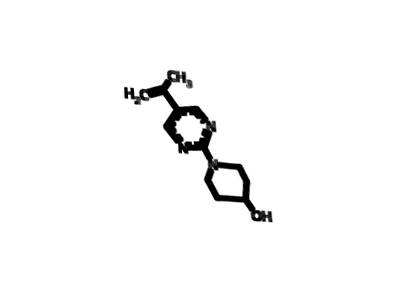 C=C(C)c1cnc(N2CCC(O)CC2)nc1